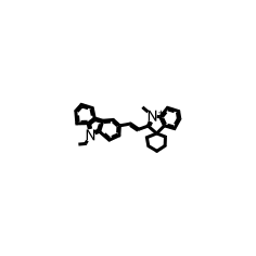 CCn1c2ccccc2c2cc(/C=C/C3=[N+](C)c4ccccc4C34CCCCC4)ccc21